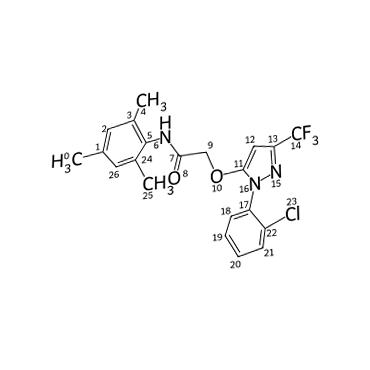 Cc1cc(C)c(NC(=O)COc2cc(C(F)(F)F)nn2-c2ccccc2Cl)c(C)c1